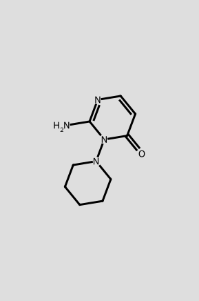 Nc1nccc(=O)n1N1CCCCC1